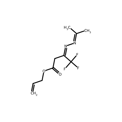 C=CCOC(=O)C/C(=N/N=C(C)C)C(F)(F)F